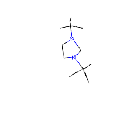 CC(C)(C)N1CCN(C(C)(C)C)C1